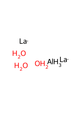 O.O.O.[AlH3].[La].[La]